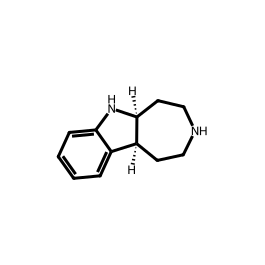 c1ccc2c(c1)N[C@H]1CCNCC[C@@H]21